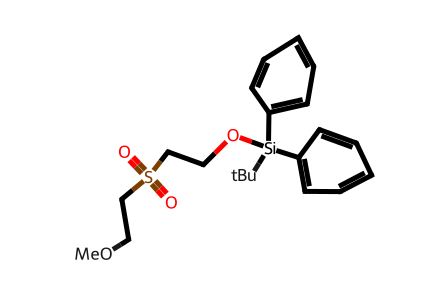 COCCS(=O)(=O)CCO[Si](c1ccccc1)(c1ccccc1)C(C)(C)C